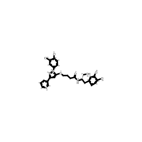 O=C(CCCOc1cc(-c2cccnc2)nn1-c1ccc(Cl)c(Cl)c1)N[C@H](CO)Cc1ccc(Cl)c(Cl)c1